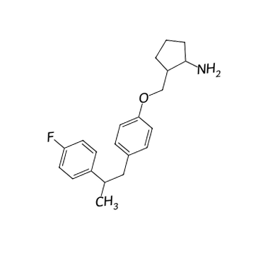 CC(Cc1ccc(OCC2CCCC2N)cc1)c1ccc(F)cc1